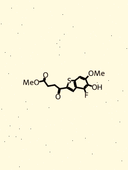 COC(=O)CCC(=O)c1cc2c(F)c(O)c(OC)cc2s1